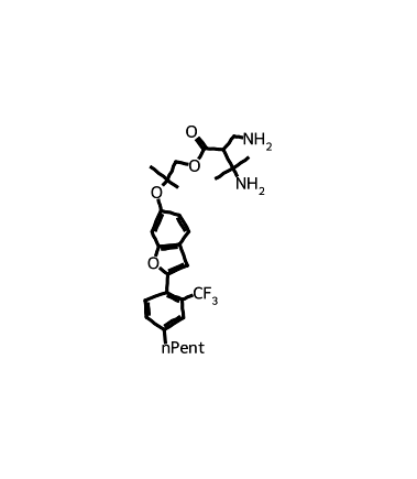 CCCCCc1ccc(-c2cc3ccc(OC(C)(C)COC(=O)C(CN)C(C)(C)N)cc3o2)c(C(F)(F)F)c1